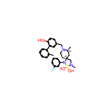 Cc1ccccc1-c1cc(CN2CC[C@@]3(C[C@@H]2C)CN(C)S(O)(O)N3c2cccc(F)c2)ccc1O